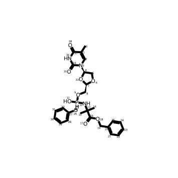 Cc1cn([C@H]2CO[C@@H](CO[PH](O)(NC(C)(C)C(=O)OCc3ccccc3)Oc3ccccc3)O2)c(=O)[nH]c1=O